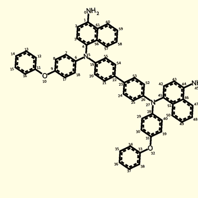 Nc1ccc(N(c2ccc(Oc3ccccc3)cc2)c2ccc(-c3ccc(N(c4ccc(Oc5ccccc5)cc4)c4ccc(N)c5ccccc45)cc3)cc2)c2ccccc12